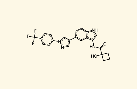 O=C(Nc1c[nH]c2ccc(-c3cnn(-c4ccc(C(F)(F)F)cc4)c3)cc12)C1(O)CCC1